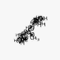 CC(=O)CSC(CC(=O)NC[C@@]12OC[C@H](O1)[C@@H](N1CCNCC1)[C@@H](O)[C@H]2O)C(=O)NC[C@@]12OC[C@@H](O1)[C@@H](N1CCNCC1)[C@@H](O)[C@H]2O